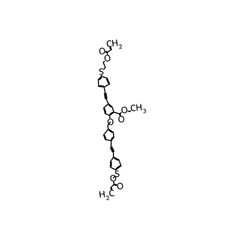 C=CC(=O)OCCSc1ccc(C#Cc2ccc(OCc3ccc(C#Cc4ccc(SOC(=O)C=C)cc4)cc3)c(C(=O)OCC)c2)cc1